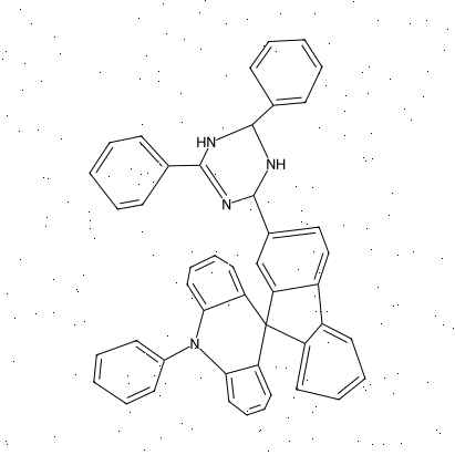 c1ccc(C2=NC(c3ccc4c(c3)C3(c5ccccc5-4)c4ccccc4N(c4ccccc4)c4ccccc43)NC(c3ccccc3)N2)cc1